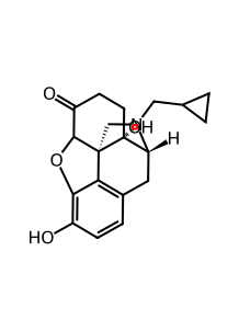 O=C1CC[C@@]2(O)[C@H]3Cc4ccc(O)c5c4[C@@]2(CN3CC2CC2)C1O5